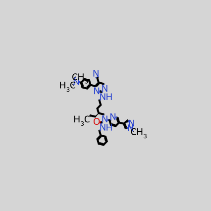 CCC[C@@H](CCCNc1ncc(C#N)c(-c2ccc(N(C)C)cc2)n1)CN(C(=O)NCc1ccccc1)c1ccc(-c2cnn(C)c2)cn1